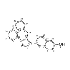 Oc1ccc2cc(-c3ccc(-c4ccccc4)n3Cc3ccccc3)ccc2c1